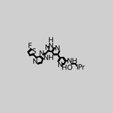 CC(C)CC(O)Nc1cncc(-c2cnc3[nH]nc(-c4nc5c(-c6ccc(F)s6)nccc5[nH]4)c3c2)c1